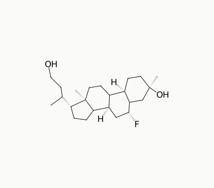 CC(CCO)[C@H]1CCC2[C@@H]3C[C@@H](F)C4C[C@](C)(O)CC[C@@H]4C3CC[C@@]21C